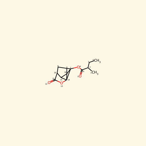 CCC(C)C(=O)OC12C3CC4C(=O)OC15C4C325